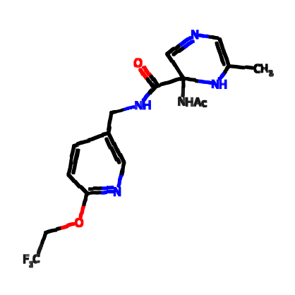 CC(=O)NC1(C(=O)NCc2ccc(OCC(F)(F)F)nc2)C=NC=C(C)N1